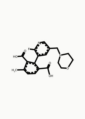 Cc1ccc(C(=O)O)c(-c2cc(CN3CCOCC3)cnc2F)c1C(=O)O